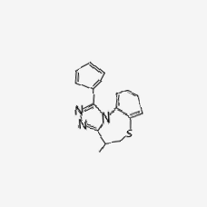 CC1CSc2ccccc2-n2c(-c3ccccc3)nnc21